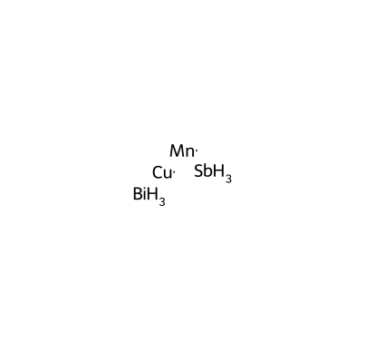 [BiH3].[Cu].[Mn].[SbH3]